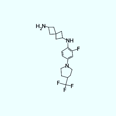 NC1CC2(C1)CC(Nc1ccc(N3CCC(C(F)(F)F)CC3)cc1F)C2